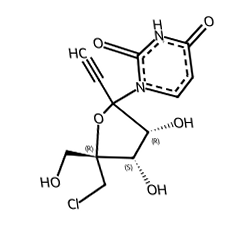 C#CC1(n2ccc(=O)[nH]c2=O)O[C@@](CO)(CCl)[C@@H](O)[C@H]1O